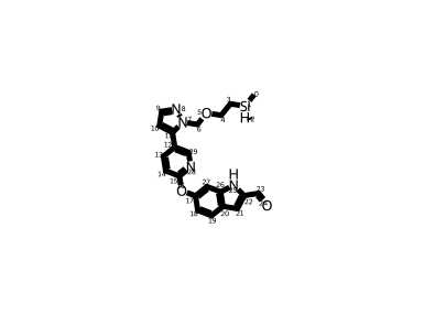 C[SiH](C)CCOCn1nccc1-c1ccc(Oc2ccc3cc(C=O)[nH]c3c2)nc1